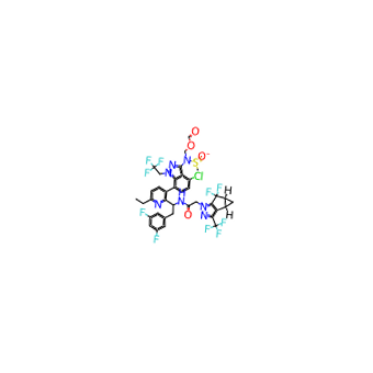 CCc1ccc(-c2ccc(Cl)c3c(N(COC=O)[S+](C)[O-])nn(CC(F)(F)F)c23)c(C(Cc2cc(F)cc(F)c2)NC(=O)Cn2nc(C(F)(F)F)c3c2C(F)(F)[C@@H]2C[C@H]32)n1